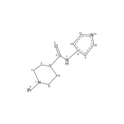 CC(C)N1CCC(C(=O)Nc2ccncc2)CC1